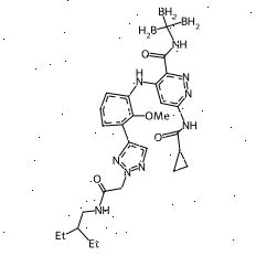 BC(B)(B)NC(=O)c1nnc(NC(=O)C2CC2)cc1Nc1cccc(-c2cnn(CC(=O)NCC(CC)CC)n2)c1OC